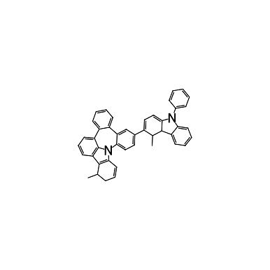 CC1CC=Cc2c1c1cccc3c1n2-c1ccc(C2=CC=C4C(c5ccccc5N4c4ccccc4)C2C)cc1-c1ccccc1-3